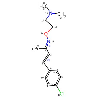 CCCC(/C=C/c1ccc(Cl)cc1)=N\OCCN(C)C